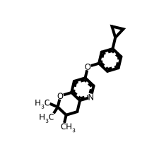 CC1Cc2ncc(Oc3cccc(C4CC4)c3)cc2OC1(C)C